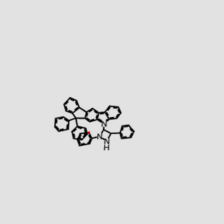 c1ccc(C2NN(c3ccccc3)C2n2c3ccccc3c3cc4c(cc32)C(c2ccccc2)(c2ccccc2)c2ccccc2-4)cc1